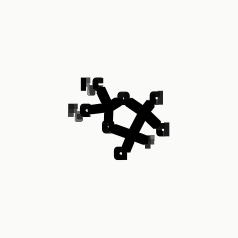 FC(F)(F)C1(C(F)(F)F)OC(F)(Cl)C(Cl)(Cl)O1